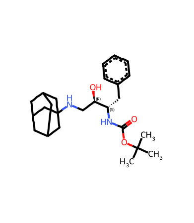 CC(C)(C)OC(=O)N[C@@H](Cc1ccccc1)[C@H](O)CNC12CC3CC(CC(C3)C1)C2